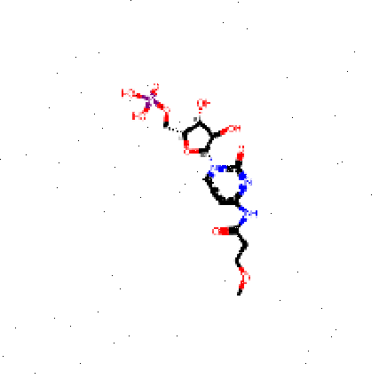 COCCC(=O)Nc1ccn([C@@H]2O[C@H](COP(=O)(O)O)[C@H](O)C2O)c(=O)n1